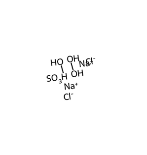 O=S(=O)(O)O.OO.[Cl-].[Cl-].[Na+].[Na+]